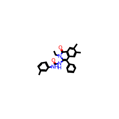 CCn1c(NC(=O)Nc2cccc(C)c2)c(-c2ccccc2)c2cc(C)c(C)cc2c1=O